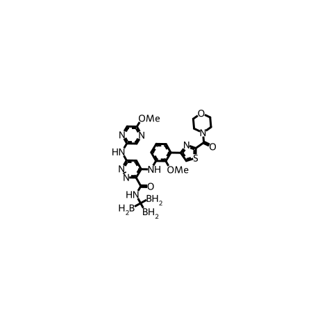 BC(B)(B)NC(=O)c1nnc(Nc2cnc(OC)cn2)cc1Nc1cccc(-c2csc(C(=O)N3CCOCC3)n2)c1OC